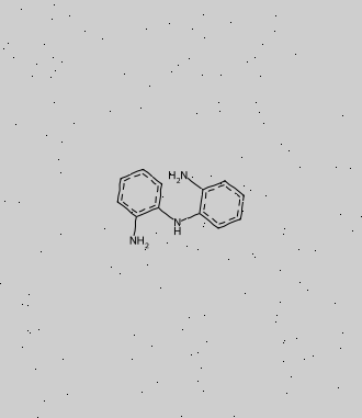 Nc1ccccc1Nc1ccccc1N